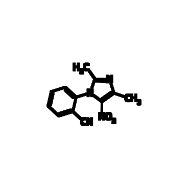 Cc1nc(C)n(-c2ccccc2C#N)c1[N+](=O)[O-]